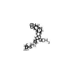 COC(=O)C1(CCCc2c(F)cnc3ccc(OC)cc23)CN(CCSc2cccs2)C1